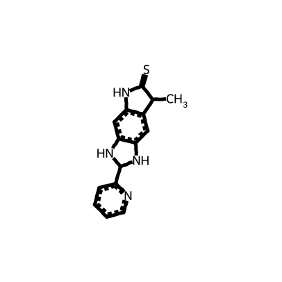 CC1C(=S)Nc2cc3c(cc21)NC(c1ccccn1)N3